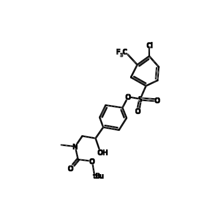 CN(CC(O)c1ccc(OS(=O)(=O)c2ccc(Cl)c(C(F)(F)F)c2)cc1)C(=O)OC(C)(C)C